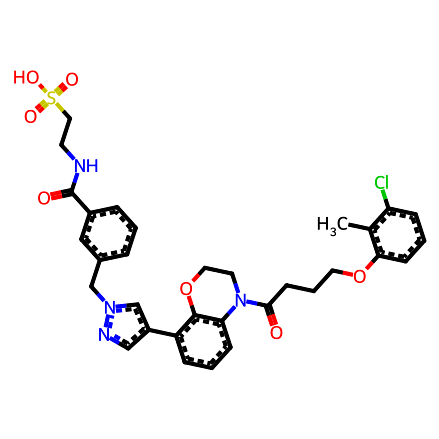 Cc1c(Cl)cccc1OCCCC(=O)N1CCOc2c(-c3cnn(Cc4cccc(C(=O)NCCS(=O)(=O)O)c4)c3)cccc21